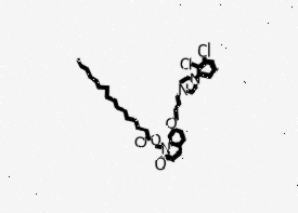 CCCCCCCCCCCCCCCC(=O)OCn1c(=O)ccc2ccc(OCCCCN3CCN(c4cccc(Cl)c4Cl)CC3)cc21